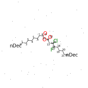 CCCCCCCCCCCCCCCCCC(=O)OC(=O)CC(Cl)C(F)CCCCCCCCCCCCCC